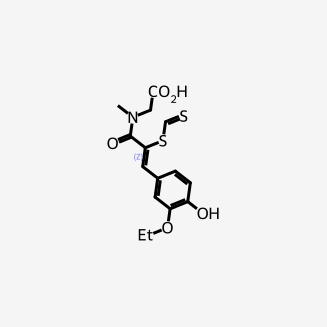 CCOc1cc(/C=C(\SC=S)C(=O)N(C)CC(=O)O)ccc1O